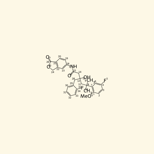 COc1ccc(F)cc1C(C)(C)CC(O)(CC(=O)Nc1ccc2c(c1)COC2=O)Cc1ccccc1F